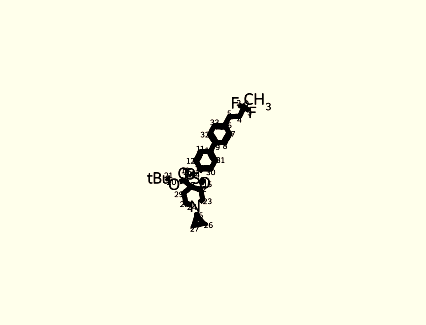 CC(F)(F)CCc1ccc(-c2ccc(S(=O)(=O)C3(C(=O)OC(C)(C)C)CCN(C4CC4)CC3)cc2)cc1